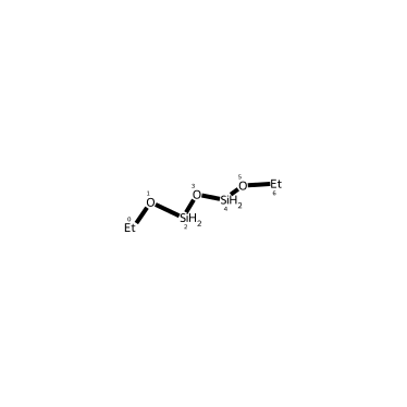 CCO[SiH2]O[SiH2]OCC